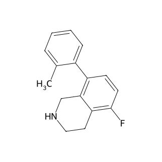 Cc1ccccc1-c1ccc(F)c2c1CNCC2